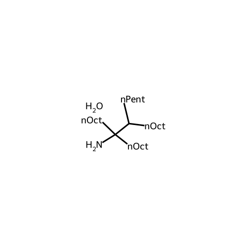 CCCCCCCCC(CCCCC)C(N)(CCCCCCCC)CCCCCCCC.O